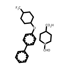 FC(F)(F)C1CCC(Oc2ccc(-c3ccccc3)cc2)CC1.O=CN1CCC(C(=O)O)CC1